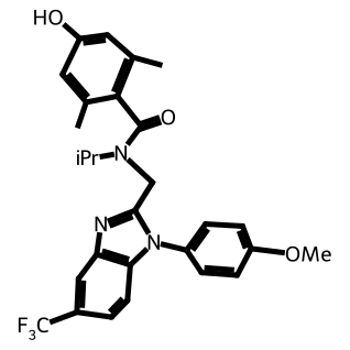 COc1ccc(-n2c(CN(C(=O)c3c(C)cc(O)cc3C)C(C)C)nc3cc(C(F)(F)F)ccc32)cc1